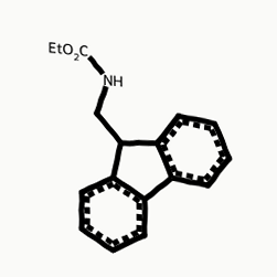 CCOC(=O)NCC1c2ccccc2-c2ccccc21